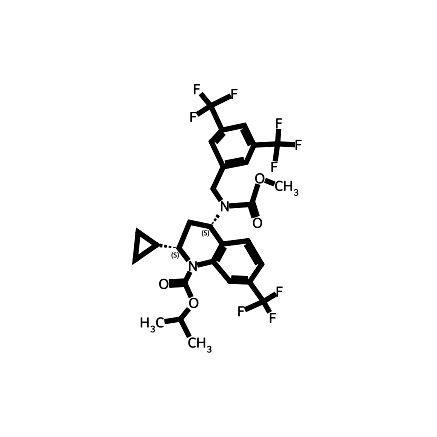 COC(=O)N(Cc1cc(C(F)(F)F)cc(C(F)(F)F)c1)[C@H]1C[C@@H](C2CC2)N(C(=O)OC(C)C)c2cc(C(F)(F)F)ccc21